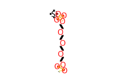 C[Si](C)(C)OS(=O)(=O)OCCOCCOCCOCCOS(C)(=O)=O